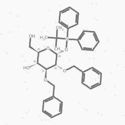 CC(C)(C)[Si](O[C@H]1O[C@H](CO)[C@@H](O)[C@H](OCc2ccccc2)[C@H]1OCc1ccccc1)(c1ccccc1)c1ccccc1